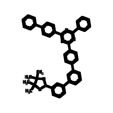 CC1(C)OB(c2cccc(-c3cccc(-c4ccc(-c5nc(-c6ccccc6)nc(-c6ccc(-c7ccccc7)cc6)n5)cc4)c3)c2)OC1(C)C